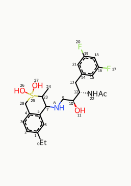 CCc1ccc2c(c1)C(NC[C@H](O)[C@H](Cc1cc(F)cc(F)c1)NC(C)=O)C(C)S(O)(O)C2